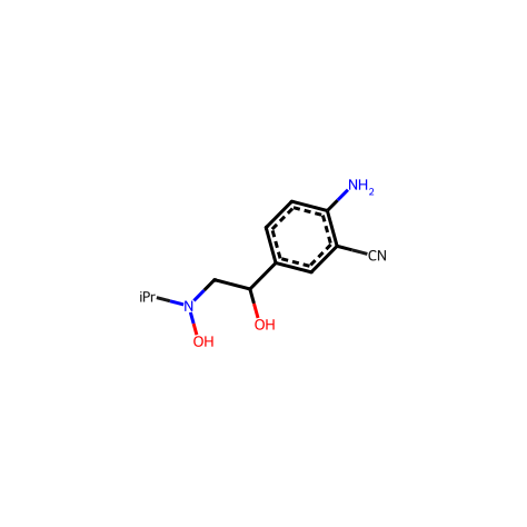 CC(C)N(O)CC(O)c1ccc(N)c(C#N)c1